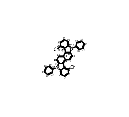 Clc1cccc2c1c1c3ccc4c(c3ccc1n2-c1ccccc1)c1c(Cl)cccc1n4-c1ccccc1